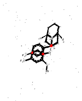 CCCOc1cc(C(F)(F)F)ccc1O[C@H]1C[C@H]2CCC[C@@H](C1)N2Oc1ccc(C(F)(F)F)cn1